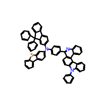 c1ccc(-n2c3ccccc3c3c4c(ccc32)c(-c2ccc(N(c3ccc5c(c3)C(c3ccccc3)(c3ccccc3)c3ccccc3-5)c3ccc5c(c3)sc3ccccc35)cc2)nc2ccccc24)cc1